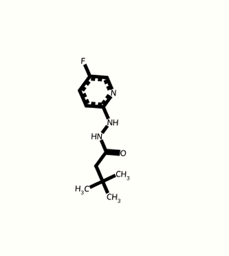 CC(C)(C)CC(=O)NNc1ccc(F)cn1